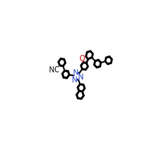 N#Cc1ccccc1-c1cccc(-c2nc(-c3ccc4ccccc4c3)nc(-c3ccc4c(c3)oc3cccc(-c5cccc(-c6ccccc6)c5)c34)n2)c1